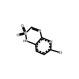 CCc1ccc2c(n1)N=CS(=O)(=O)N2